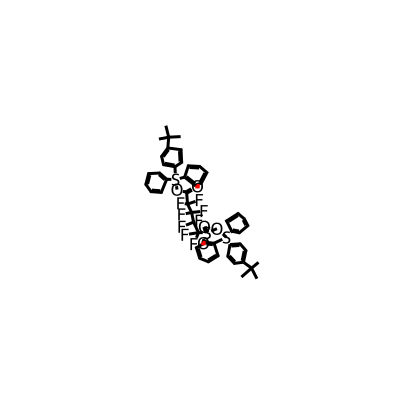 CC(C)(C)c1ccc(S(OC(=O)C(F)(F)C(F)(F)C(F)(F)C(F)(F)S(=O)(=O)OS(c2ccccc2)(c2ccccc2)c2ccc(C(C)(C)C)cc2)(c2ccccc2)c2ccccc2)cc1